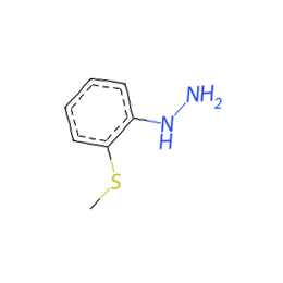 CSc1ccccc1NN